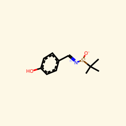 CC(C)(C)[S+]([O-])/N=C/c1ccc(O)cc1